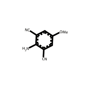 COc1cc(C#N)c(N)c(C#N)c1